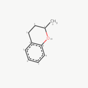 CC1[CH]Cc2ccccc2O1